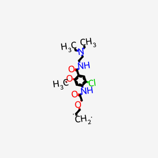 [CH2][CH]COCC(=O)Nc1cc(OC)c(C(=O)NCCN(CC)CC)cc1Cl